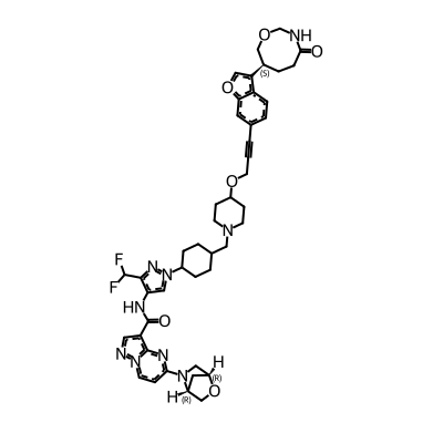 O=C1CC[C@@H](c2coc3cc(C#CCOC4CCN(CC5CCC(n6cc(NC(=O)c7cnn8ccc(N9C[C@H]%10C[C@@H]9CO%10)nc78)c(C(F)F)n6)CC5)CC4)ccc23)COCN1